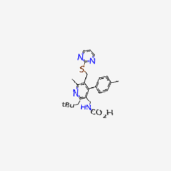 Cc1ccc(-c2c(CSc3ncccn3)c(C)nc(CC(C)(C)C)c2CNC(=O)O)cc1